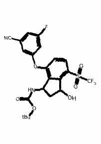 CC(C)(C)OC(=O)NC1CC(O)c2c(S(=O)(=O)C(F)(F)F)ccc(Oc3cc(F)cc(C#N)c3)c21